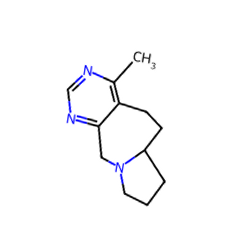 Cc1ncnc2c1CCC1CCCN1C2